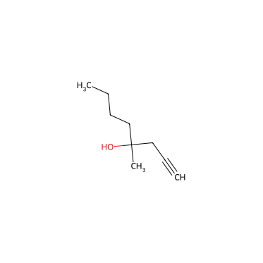 C#CCC(C)(O)CCCC